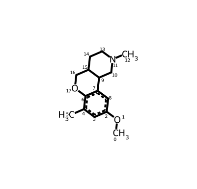 COc1cc(C)c2c(c1)C1CN(C)CCC1CO2